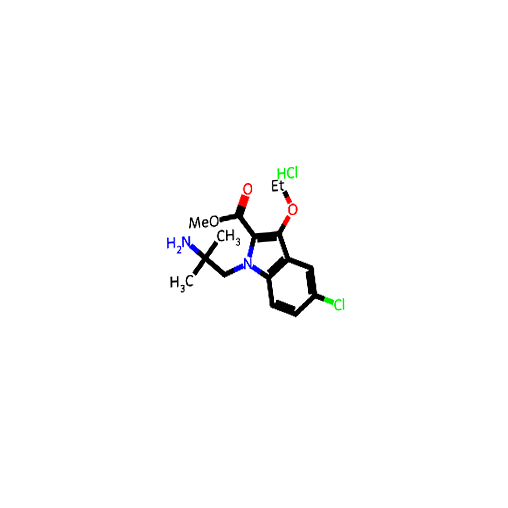 CCOc1c(C(=O)OC)n(CC(C)(C)N)c2ccc(Cl)cc12.Cl